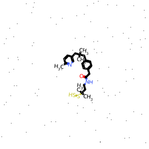 Cc1ccc(CC(C)(C)Cc2ccc(CC(=O)NCCC(C)(C)SS)cc2)cn1